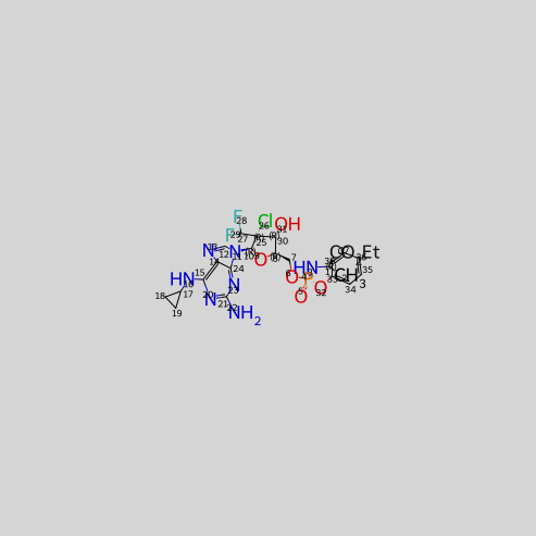 CCOC(=O)[C@@H](C)NP(=O)(OC[C@H]1O[C@@H](n2cnc3c(NC4CC4)nc(N)nc32)[C@@](Cl)(C(F)F)[C@@H]1O)Oc1ccccc1